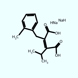 Cc1ccccc1C/C(C(=O)O)=C(/C(=O)O)C(C)C.[NaH].[NaH]